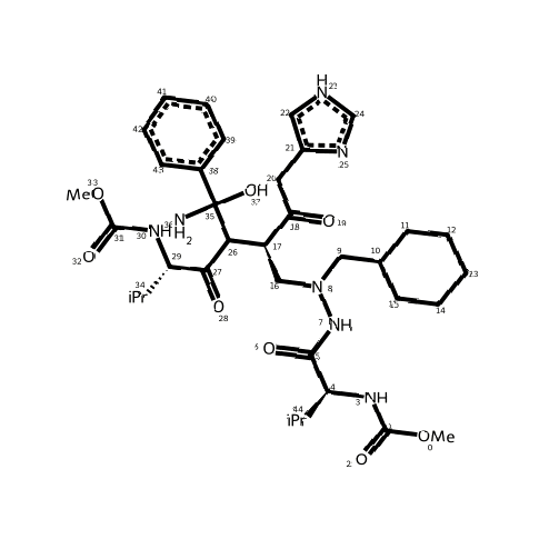 COC(=O)N[C@H](C(=O)NN(CC1CCCCC1)C[C@H](C(=O)Cc1c[nH]cn1)C(C(=O)[C@@H](NC(=O)OC)C(C)C)C(N)(O)c1ccccc1)C(C)C